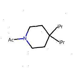 CC(=O)N1CCC(C(C)C)(C(C)C)CC1